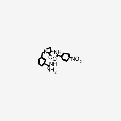 N=C(N)c1cccc(CN2CC[C@H](NC(=O)c3ccc([N+](=O)[O-])cc3)C2=O)c1